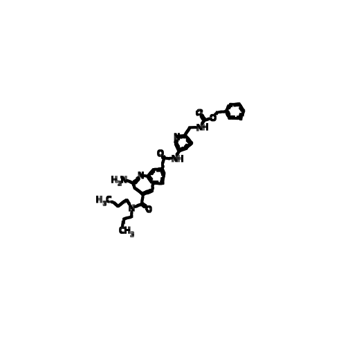 CCCN(CCC)C(=O)C1=Cc2ccc(C(=O)Nc3ccc(CNC(=O)OCc4ccccc4)nc3)cc2N=C(N)C1